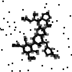 C=CC(O)N[C@H]1COC[C@H]1Nc1ncc2cc(-c3c(Cl)c(OC)cc(OC)c3Cl)nc(CC3CCN(C)C3)c2n1